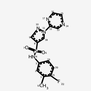 Cc1cc(NS(=O)(=O)c2cnn(-c3cnccn3)c2)ccc1F